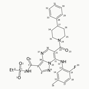 CCS(=O)(=O)NC(=O)c1cnn2c(Nc3cc(C)ccc3F)c(C(=O)N3CCC(c4ccccc4)CC3)cnc12